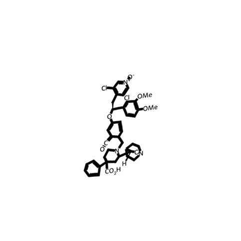 COc1ccc([C@H](Cc2c(Cl)c[n+]([O-])cc2Cl)OC2=CC(=C=O)C(CN3CCC(C(=O)O)(c4ccccc4)CC3[C@H]3CN4CCC3CC4)C=C2)cc1OC